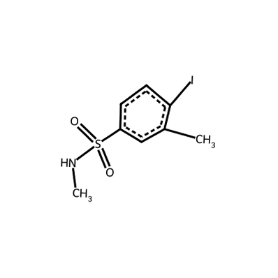 CNS(=O)(=O)c1ccc(I)c(C)c1